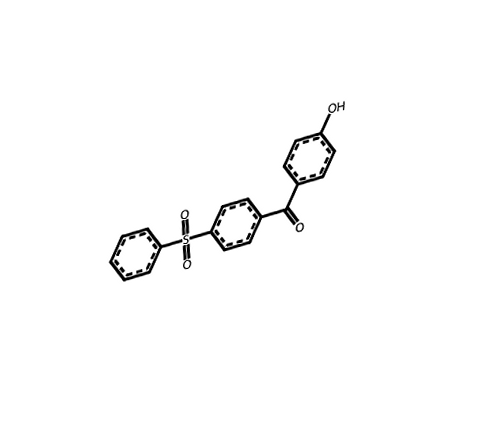 O=C(c1ccc(O)cc1)c1ccc(S(=O)(=O)c2ccccc2)cc1